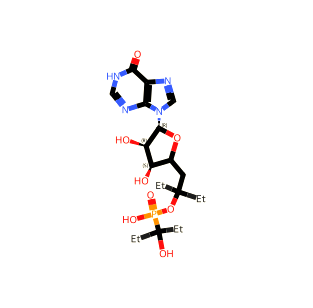 CCC(CC)(CC1O[C@@H](n2cnc3c(=O)[nH]cnc32)[C@H](O)[C@@H]1O)OP(=O)(O)C(O)(CC)CC